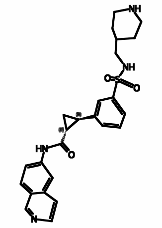 O=C(Nc1ccc2cnccc2c1)[C@@H]1C[C@H]1c1cccc(S(=O)(=O)NCC2CCNCC2)c1